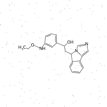 CCONc1cccc(C(O)CC2c3ccccc3-c3cncn32)c1